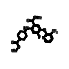 COC(=O)c1cc(Oc2ncccc2C(F)(F)F)c(F)cc1NC1CCN(C(=O)OC(C)(C)C)CC1